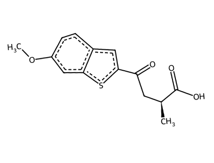 COc1ccc2cc(C(=O)C[C@H](C)C(=O)O)sc2c1